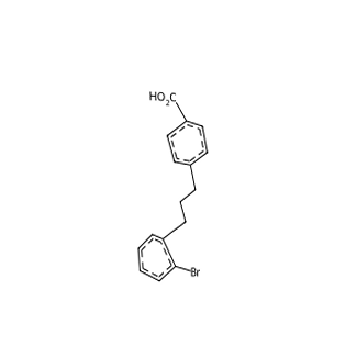 O=C(O)c1ccc(CCCc2ccccc2Br)cc1